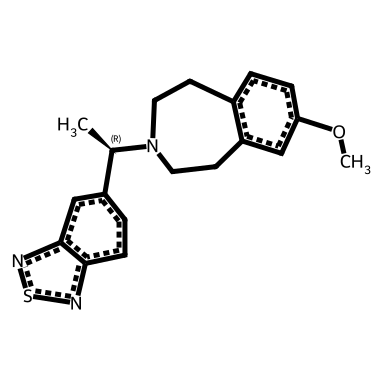 COc1ccc2c(c1)CCN([C@H](C)c1ccc3nsnc3c1)CC2